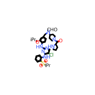 CC(C)Oc1cc(CN(C=O)C2CCN(C(=O)C3CCCN3)CC2)ccc1Nc1ncc(Cl)c(Nc2ccccc2S(=O)(=O)C(C)C)n1